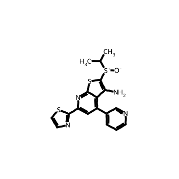 CC(C)[S+]([O-])c1sc2nc(-c3nccs3)cc(-c3cccnc3)c2c1N